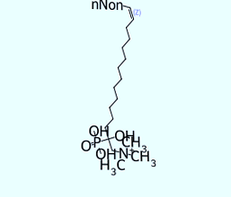 CCCCCCCCC/C=C\CCCCCCCCCCCC(O)(C[N+](C)(C)C)P(=O)(O)O